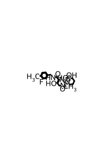 Cc1ccc(CNC(=O)C2=C(O)C[N+](C)([O-])C(N3CCCCS3(O)O)=N2)cc1F